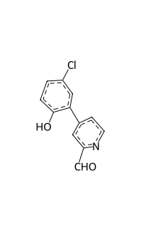 O=Cc1cc(-c2cc(Cl)ccc2O)ccn1